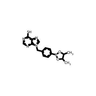 CC1OB(c2ccc(Cn3cnc4c(S)ncnc43)cc2)OC1C